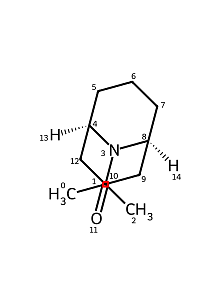 CC(C)N1[C@@H]2CCC[C@H]1CC(=O)C2